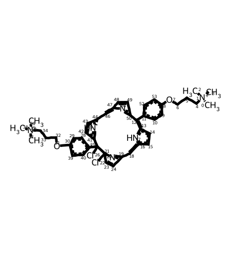 C[N+](C)(C)CCCOc1ccc(C2=c3ccc([nH]3)=CC3=NC(Cl)(C=C3)C(Cl)(c3ccc(OCCC[N+](C)(C)C)cc3)c3ccc([nH]3)C=C3C=CC2=N3)cc1